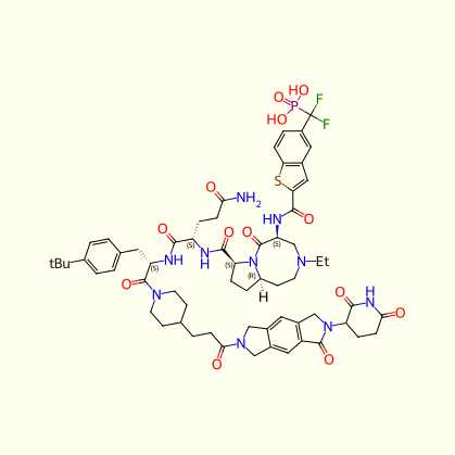 CCN1CC[C@H]2CC[C@@H](C(=O)N[C@@H](CCC(N)=O)C(=O)N[C@@H](Cc3ccc(C(C)(C)C)cc3)C(=O)N3CCC(CCC(=O)N4Cc5cc6c(cc5C4)C(=O)N(C4CCC(=O)NC4=O)C6)CC3)N2C(=O)[C@@H](NC(=O)c2cc3cc(C(F)(F)P(=O)(O)O)ccc3s2)C1